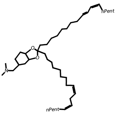 CCCCC/C=C\C=C\CCCCCCCCC1(CCCCCCCC/C=C\C/C=C\CCCCC)OC2CCC(CN(C)C)CC2O1